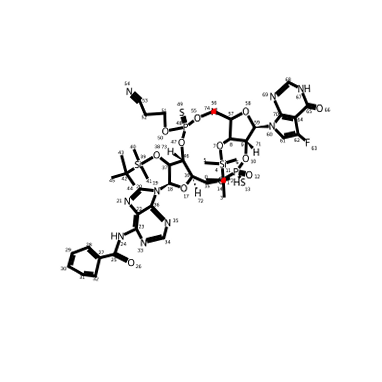 CC(C)(C)[Si](C)(C)OC1[C@H]2OP(=O)(S)OC[C@H]3O[C@@H](n4cnc5c(NC(=O)c6ccccc6)ncnc54)C(O[Si](C)(C)C(C)(C)C)[C@@H]3OP(=S)(OCCC#N)OC[C@H]1O[C@H]2n1cc(F)c2c(=O)[nH]cnc21